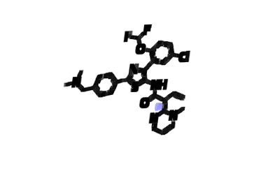 C=C/C(C(=O)Nc1sc(-c2ccc(CN(C)C)cc2)nc1-c1cc(Cl)ccc1OC(F)F)=C1/N=CC=CN1C